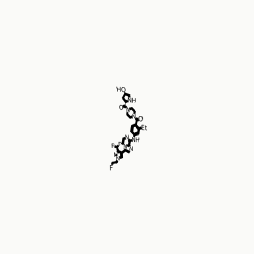 CCc1cc(Nc2nccn3c(-c4cn(CCF)nc4C(F)F)cnc23)ccc1C(=O)N1CCN(C(=O)[C@@H]2C[C@@H](O)CN2)CC1